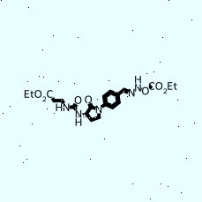 CCOC(=O)CCNC(=O)N[C@H]1CCN(c2ccc(C=NNOC(=O)OCC)cc2)C1=O